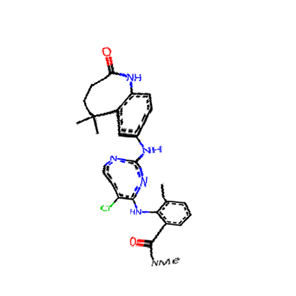 CNC(=O)c1cccc(C)c1Nc1nc(Nc2ccc3c(c2)C(C)(C)CCC(=O)N3)ncc1Cl